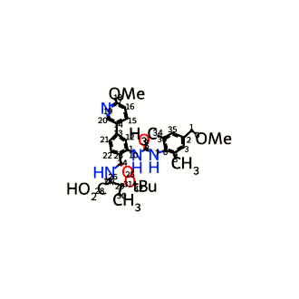 COCc1cc(C)c(NC(=O)Nc2cc(-c3ccc(OC)nc3)ccc2C(=O)N[C@H](C(=O)O)C(C)OC(C)(C)C)c(C)c1